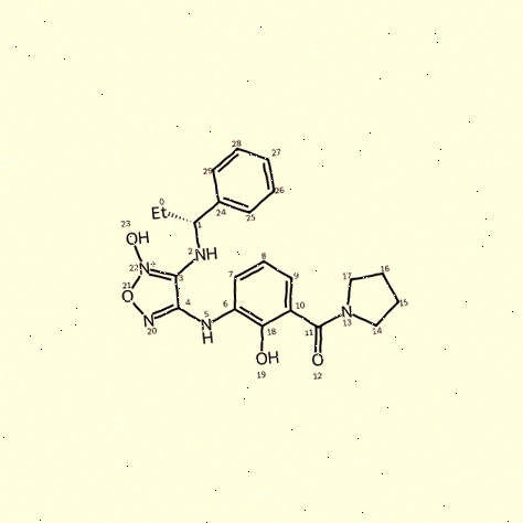 CC[C@@H](Nc1c(Nc2cccc(C(=O)N3CCCC3)c2O)no[n+]1O)c1ccccc1